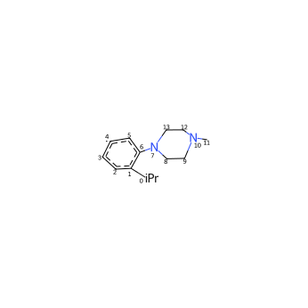 CC(C)c1cc[c]cc1N1CCN(C)CC1